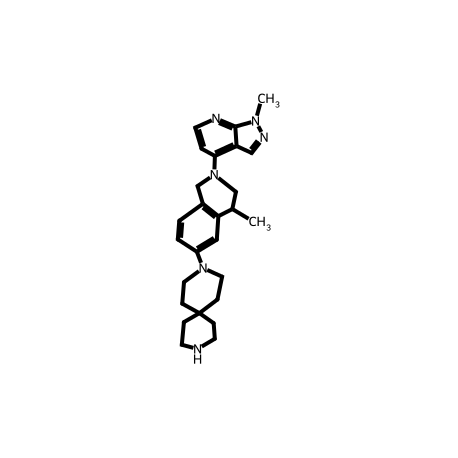 CC1CN(c2ccnc3c2cnn3C)Cc2ccc(N3CCC4(CCNCC4)CC3)cc21